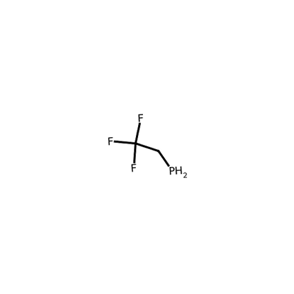 FC(F)(F)CP